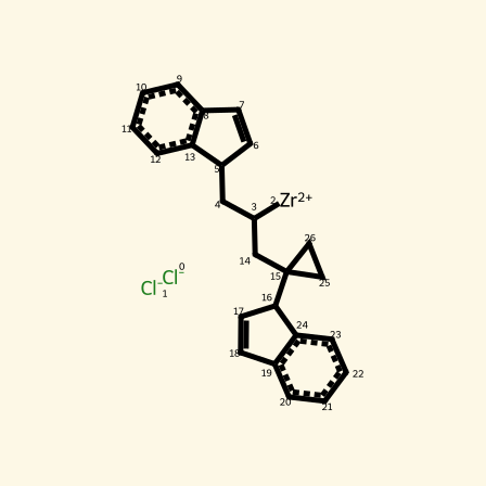 [Cl-].[Cl-].[Zr+2][CH](CC1C=Cc2ccccc21)CC1(C2C=Cc3ccccc32)CC1